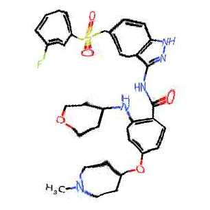 CN1CCC(Oc2ccc(C(=O)Nc3n[nH]c4ccc(S(=O)(=O)c5cccc(F)c5)cc34)c(NC3CCOCC3)c2)CC1